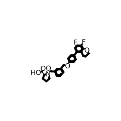 O=C(O)[C@@H]1CCCN1C(=O)c1cccc(COc2ccc(-c3cc(F)c(F)c4c3C=CCO4)cc2)c1